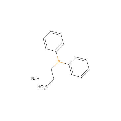 O=S(=O)(O)CCP(c1ccccc1)c1ccccc1.[NaH]